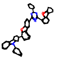 c1ccc(-c2nc(-c3ccc4oc5c(-c6ccc7c8ccccc8n(-c8ccccc8)c7c6)cccc5c4c3)nc(-c3cccc4c3oc3ccccc34)n2)cc1